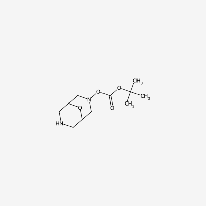 CC(C)(C)OC(=O)ON1CC2CNCC(C1)O2